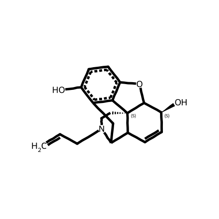 C=CCN1CC[C@@]23c4c5ccc(O)c4CC1C2C=C[C@H](O)C3O5